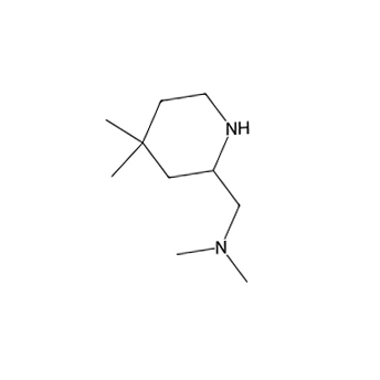 CN(C)CC1CC(C)(C)CCN1